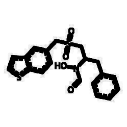 O=CN(O)C(Cc1ccccc1)CS(=O)(=O)Cc1ccc2sccc2c1